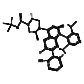 CC(C)c1cncc(C(C)C)c1-n1c(=O)nc(N2C[C@@H](C)N(C(=O)OC(C)(C)C)C[C@@H]2C)c2cc(F)c(-c3c(O)cccc3F)nc21